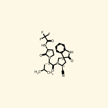 CC(C)C[C@@H](C(=O)N1C[C@]2(C[C@H]1C#N)C(=O)Nc1ccccc12)N1CC[C@H](NC(=O)C(F)(F)F)C1=O